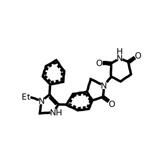 CCN1CNC(c2ccc3c(c2)CN(C2CCC(=O)NC2=O)C3=O)=C1c1ccccc1